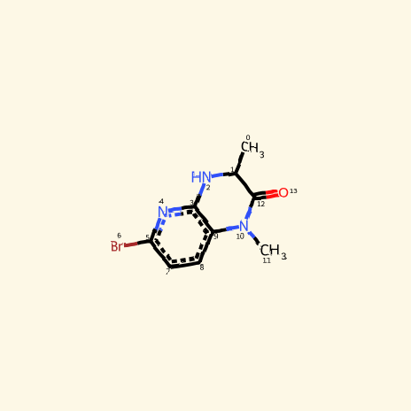 CC1Nc2nc(Br)ccc2N(C)C1=O